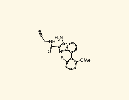 C#CCNC(=O)c1nc2c(-c3c(F)cccc3OC)cccn2c1N